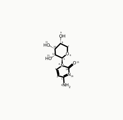 Nc1ccn([C@@H]2OC[C@@H](O)[C@@H](O)[C@H]2O)c(=O)n1